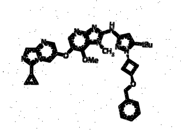 COc1c(Oc2cnc3cnc(C4CC4)n3c2)cnc2nc(Nc3cc(C(C)(C)C)n([C@H]4C[C@H](OCc5ccccc5)C4)n3)n(C)c12